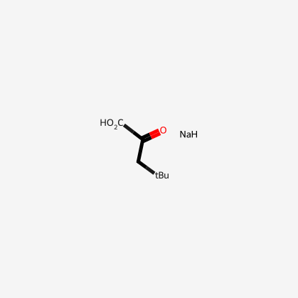 CC(C)(C)CC(=O)C(=O)O.[NaH]